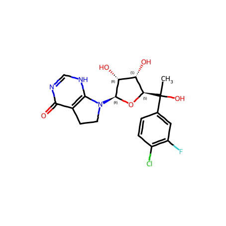 CC(O)(c1ccc(Cl)c(F)c1)[C@H]1O[C@@H](N2CCc3c2[nH]cnc3=O)[C@H](O)[C@@H]1O